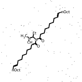 CCCCCCCCC=CCCCCCCCC(=O)N(C(=O)CCCCCCCC=CCCCCCCCC)C(CC)N(C)C